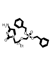 CC[C@H](Cn1ccc(N)nc1=O)OCP(=O)(OCc1ccccc1)OCc1ccccc1